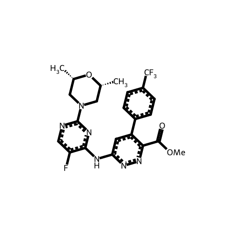 COC(=O)c1nnc(Nc2nc(N3C[C@@H](C)O[C@@H](C)C3)ncc2F)cc1-c1ccc(C(F)(F)F)cc1